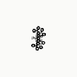 CC(C)c1c2c(cc3c1Oc1cc(N(c4ccccc4)c4ccccc4)cc4c1B3Oc1ccccc1N4c1ccccc1)B1Oc3ccccc3N(c3ccccc3)c3cc(N(c4ccccc4)c4ccccc4)cc(c31)O2